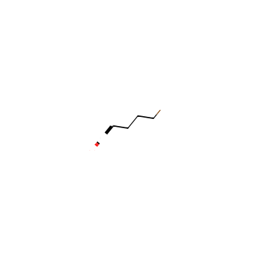 O=C=CCCC[S]